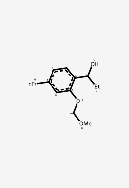 CCCc1ccc(C(O)CC)c(OCOC)c1